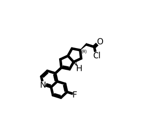 O=C(Cl)C[C@@H]1CC2CC(c3ccnc4ccc(F)cc34)=C[C@@H]2C1